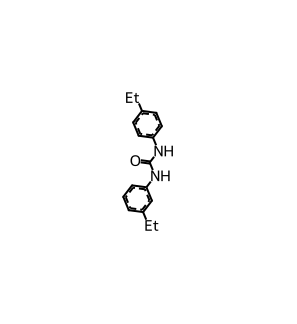 CCc1ccc(NC(=O)Nc2cccc(CC)c2)cc1